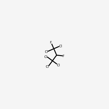 F[C](C(F)(Cl)Cl)C(Cl)(Cl)Cl